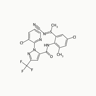 Cc1cc(Cl)cc(S(C)=NC#N)c1NC(=O)c1cc(C(F)(F)F)nn1-c1ncccc1Cl